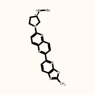 Cc1nc2ccc(-c3ccc4nc(N5CC[C@@H](NC(C)(C)C)C5)ccc4n3)nc2o1